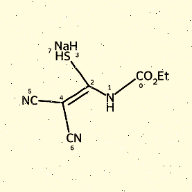 CCOC(=O)NC(S)=C(C#N)C#N.[NaH]